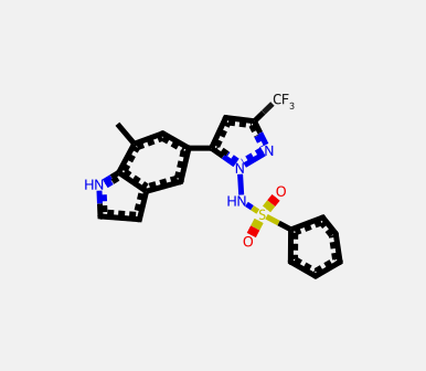 Cc1cc(-c2cc(C(F)(F)F)nn2NS(=O)(=O)c2ccccc2)cc2cc[nH]c12